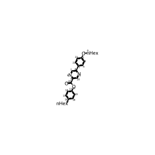 CCCCCCOc1ccc(-c2cnc(C(=O)Oc3ccc(CCCCCC)cc3)cn2)cc1